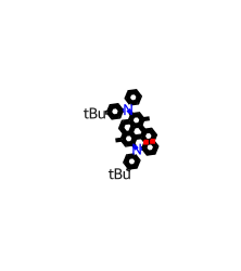 Cc1cc(N(c2ccccc2)c2ccc(C(C)(C)C)cc2)c2c3ccccc3c3c(C)cc(N(c4ccccc4)c4ccc(C(C)(C)C)cc4)c4ccc1c2c43